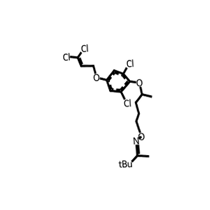 CC(=NOCCCC(C)Oc1c(Cl)cc(OCC=C(Cl)Cl)cc1Cl)C(C)(C)C